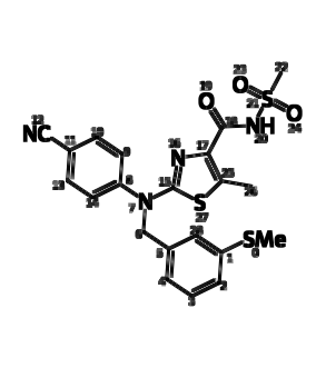 CSc1cccc(CN(c2ccc(C#N)cc2)c2nc(C(=O)NS(C)(=O)=O)c(C)s2)c1